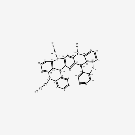 [Y][Y][Y][Y]1[c]2ccccc2B2c3cc4[c](c[c]3[Y]([Y][Y])[c]3ccc[c]1c32)[Y]([Y])[c]1ccc[c]2c1B4c1cccc[c]1[Y]2